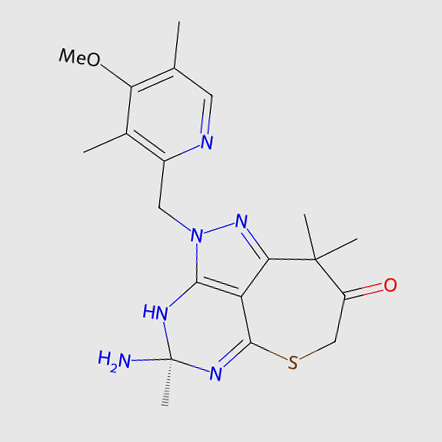 COc1c(C)cnc(Cn2nc3c4c2N[C@](C)(N)N=C4SCC(=O)C3(C)C)c1C